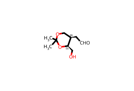 CC1(C)OC[C@@H](CC=O)[C@@H](CO)O1